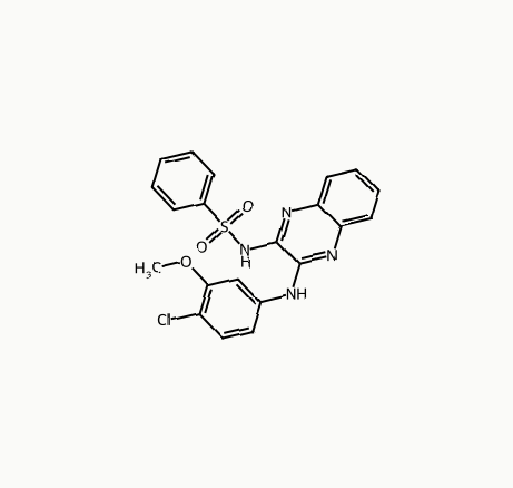 COc1cc(Nc2nc3ccccc3nc2NS(=O)(=O)c2ccccc2)ccc1Cl